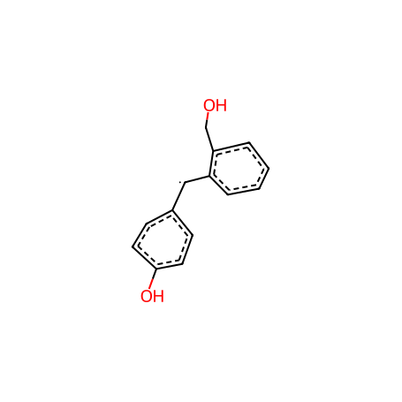 OCc1ccccc1[CH]c1ccc(O)cc1